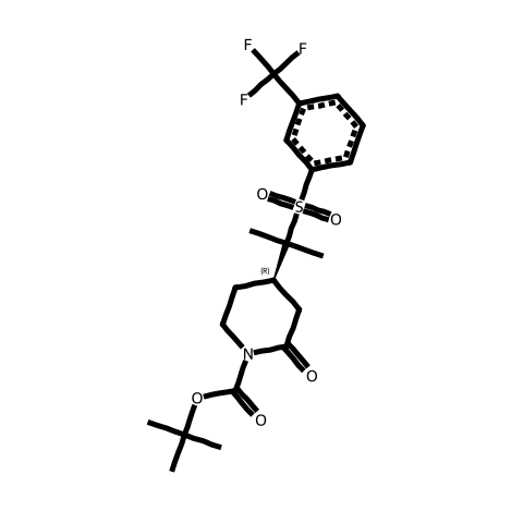 CC(C)(C)OC(=O)N1CC[C@@H](C(C)(C)S(=O)(=O)c2cccc(C(F)(F)F)c2)CC1=O